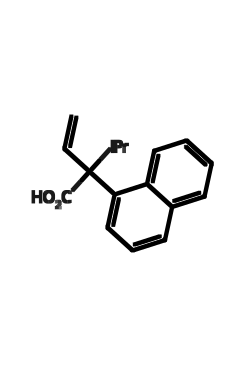 C=CC(C(=O)O)(c1cccc2ccccc12)C(C)C